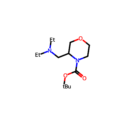 CCN(CC)CC1COCCN1C(=O)OC(C)(C)C